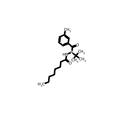 CCCCCCCC(=O)NN(C(=O)c1cccc(C)c1)C(C)(C)C